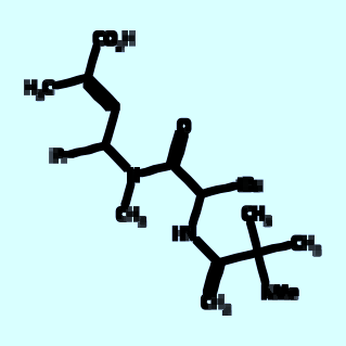 C=C(NC(C(=O)N(C)C(/C=C(\C)C(=O)O)C(C)C)C(C)(C)C)C(C)(C)NC